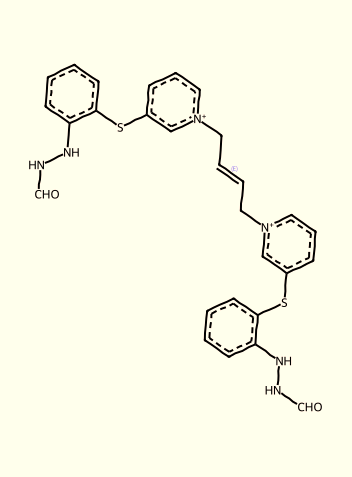 O=CNNc1ccccc1Sc1ccc[n+](C/C=C/C[n+]2cccc(Sc3ccccc3NNC=O)c2)c1